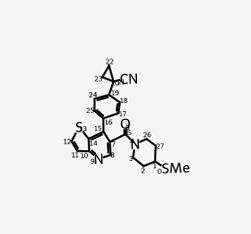 CSC1CCN(C(=O)c2cnc3ccsc3c2-c2ccc(C3(C#N)CC3)cc2)CC1